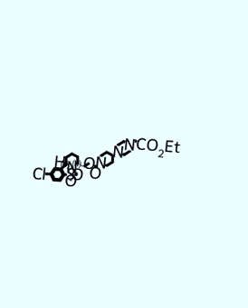 CCOC(=O)CN1CCN(C2CCN(C(=O)OC[C@H]3CCC[C@H]4c5cc(Cl)ccc5S(=O)(=O)N34)CC2)CC1